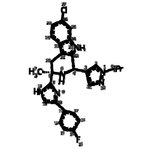 CC(C)n1cc(C2N[C@@](C)(c3nc(-c4ccc(F)cc4)c[nH]3)Cc3c2[nH]c2cc(Cl)ccc32)cn1